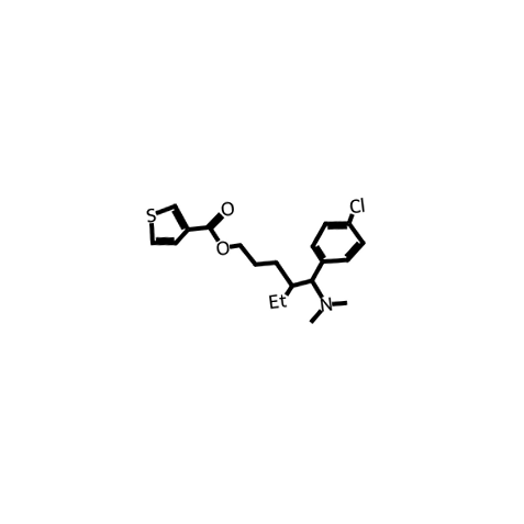 CCC(CCCOC(=O)c1ccsc1)C(c1ccc(Cl)cc1)N(C)C